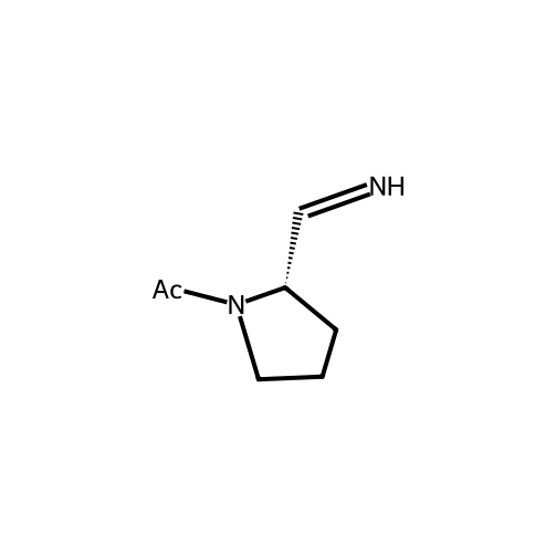 CC(=O)N1CCC[C@H]1C=N